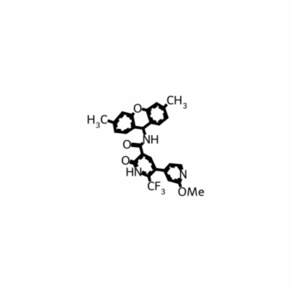 COc1cc(-c2cc(C(=O)NC3c4ccc(C)cc4Oc4cc(C)ccc43)c(=O)[nH]c2C(F)(F)F)ccn1